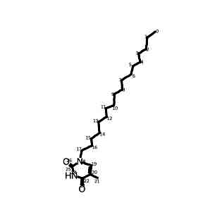 CCCCCCCCCCCCCCCCCCn1cc(C)c(=O)[nH]c1=O